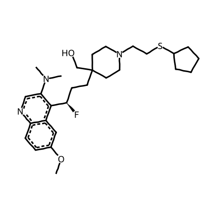 COc1ccc2ncc(N(C)C)c([C@H](F)CCC3(CO)CCN(CCSC4CCCC4)CC3)c2c1